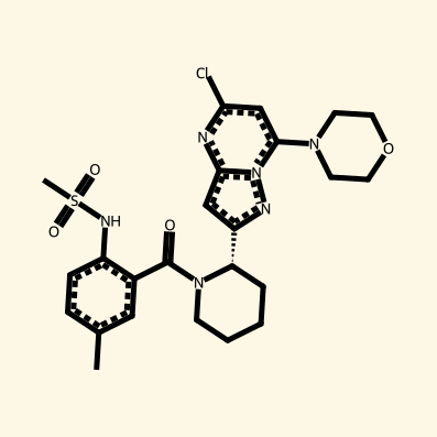 Cc1ccc(NS(C)(=O)=O)c(C(=O)N2CCCC[C@H]2c2cc3nc(Cl)cc(N4CCOCC4)n3n2)c1